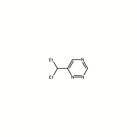 CCC(CC)c1cncnn1